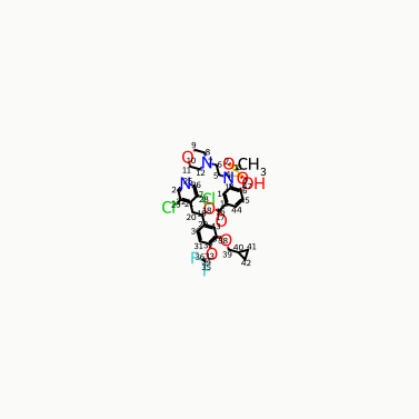 CS(=O)(=O)N(CCN1CCOCC1)c1cc(C(=O)OC(Cc2c(Cl)cncc2Cl)c2ccc(OC(F)F)c(OCC3CC3)c2)ccc1O